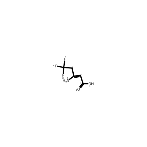 NC(=CC(=O)O)CC(F)(F)F